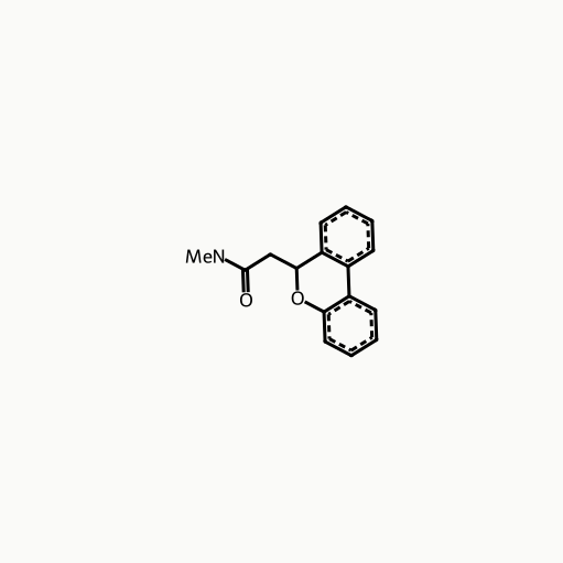 CNC(=O)CC1Oc2ccccc2-c2ccccc21